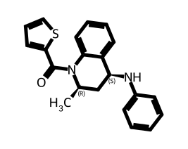 C[C@@H]1C[C@H](Nc2ccccc2)c2ccccc2N1C(=O)c1cccs1